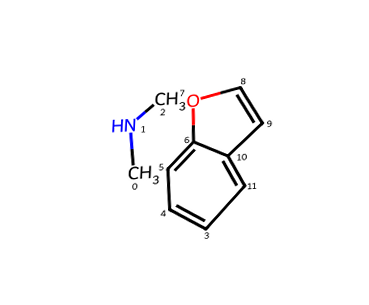 CNC.c1ccc2occc2c1